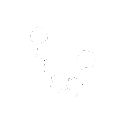 O=C(Nc1ccc2[nH]nc(-c3cccc(F)c3)c2c1)C(=O)c1ccccc1